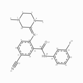 CN1CCN(C)/C(=N/c2ccc(C#N)cc2C(=O)Nc2cccc(F)c2)C1